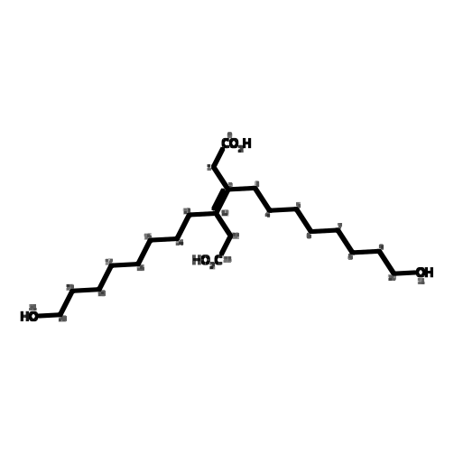 O=C(O)C/C(CCCCCCCCO)=C(\CCCCCCCCO)CC(=O)O